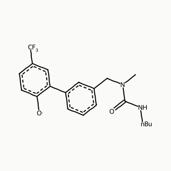 CCCCNC(=O)N(C)Cc1cccc(-c2cc(C(F)(F)F)ccc2[O])c1